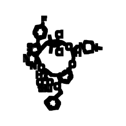 Cc1c(Cl)c2c(Cl)c(C)c1-c1c(-c3ccc(F)cc3)sc3ncnc(c13)O[C@@H](C(=O)OC(C)(C)C)Cc1cc(ccc1OCc1ccccc1)OC[C@@H](CN1CCN(C)CC1)O2